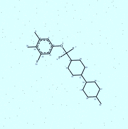 Cc1cc(OC(F)(F)C2CCC(C3CCC(C)CC3)CC2)cc(F)c1C